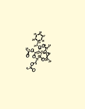 CC(=O)OC[C@H]1O[C@H](OC(C)=O)[C@H](OCc2ccccc2)[C@H](OC(C)=O)[C@H]1OC(C)=O